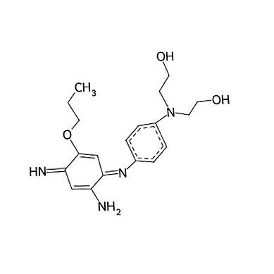 CCCOC1=CC(=Nc2ccc(N(CCO)CCO)cc2)C(N)=CC1=N